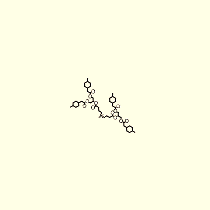 CC1CCC(CC(=O)OCC(COC(=O)CC2CCC(C)CC2)OC(=O)CCCN(C)CCCC(=O)OC(COC(=O)CC2CCC(C)CC2)COC(=O)CC2CCC(C)CC2)CC1